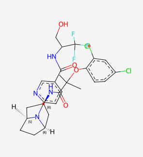 CC(C)(Oc1ccc(Cl)cc1Cl)C(=O)N[C@H]1C[C@H]2CC[C@@H](C1)N2c1ccc(C(=O)NC(CO)C(F)(F)F)cn1